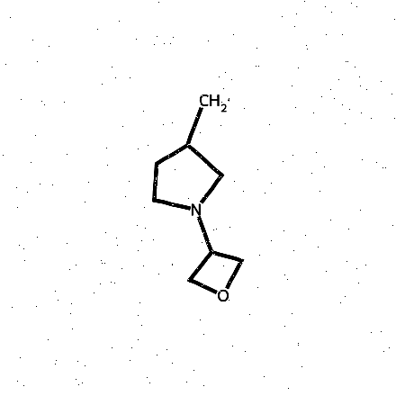 [CH2]C1CCN(C2COC2)C1